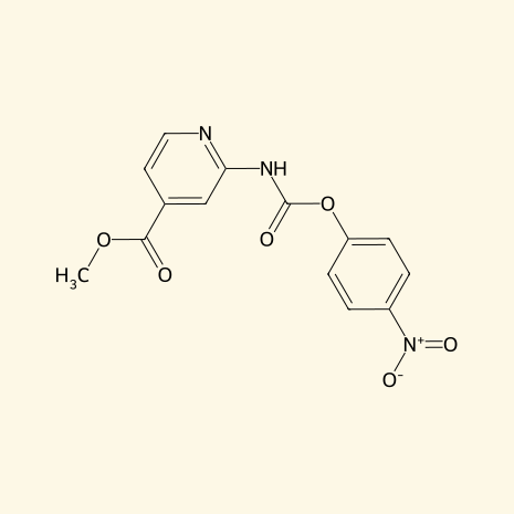 COC(=O)c1ccnc(NC(=O)Oc2ccc([N+](=O)[O-])cc2)c1